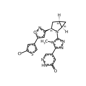 Cn1c(-c2cn[nH]c(=O)c2)nnc1N1[C@@H](c2cc(-c3csc(Cl)c3)on2)C[C@H]2C[C@H]21